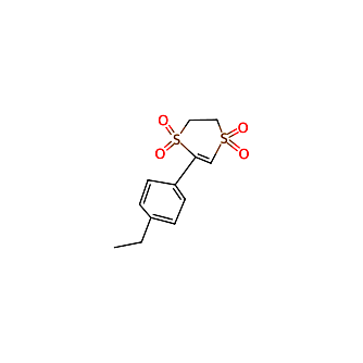 CCc1ccc(C2=CS(=O)(=O)CCS2(=O)=O)cc1